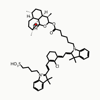 C[C@@H]1CC[C@H]2[C@@H](C)C(OC(=O)CCCCCN3/C(=C/C=C4\CCCC(/C=C/C5=[N+](CCCCS(=O)(=O)O)c6ccccc6C5(C)C)=C4Cl)C(C)(C)c4ccccc43)O[C@@H]3O[C@]4(C)CC[C@@H]1[C@]32OO4